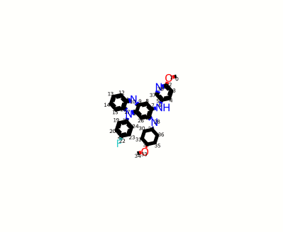 COc1ccc(Nc2cc3nc4ccccc4n(-c4ccc(F)cc4)c-3c/c2=N\[C@H]2CC[C@H](OC)CC2)cn1